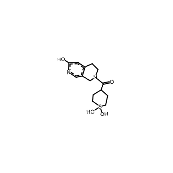 O=C(C1CCS(O)(O)CC1)N1CCc2cc(O)ncc2C1